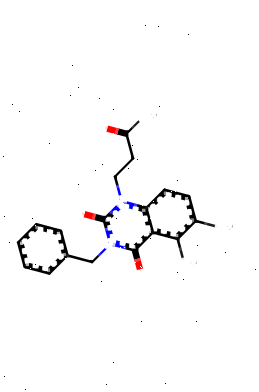 COC(=O)CCn1c(=O)n(Cc2ccccc2)c(=O)c2c(OC)c(OC)ccc21